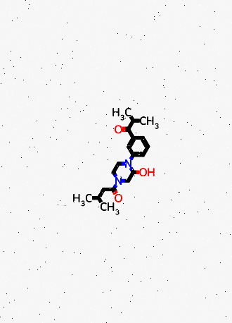 CC(C)CC(=O)N1CCN(c2cccc(C(=O)C(C)C)c2)C(O)C1